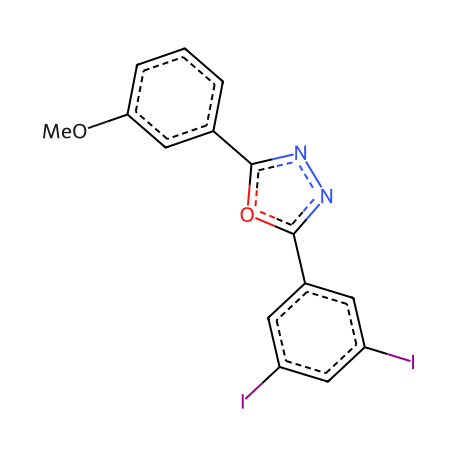 COc1cccc(-c2nnc(-c3cc(I)cc(I)c3)o2)c1